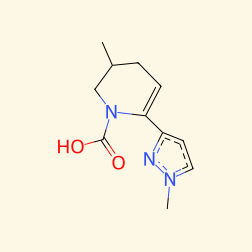 CC1CC=C(c2ccn(C)n2)N(C(=O)O)C1